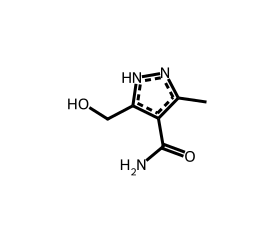 Cc1n[nH]c(CO)c1C(N)=O